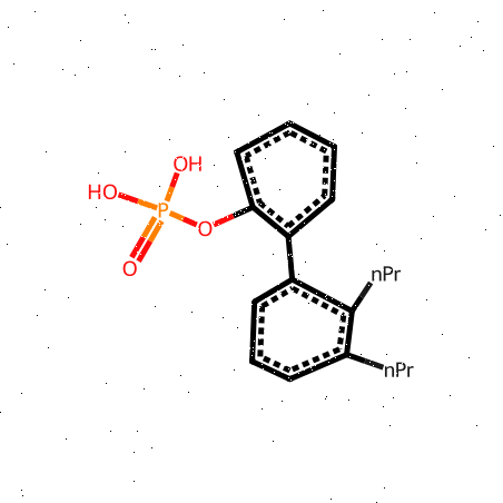 CCCc1cccc(-c2ccccc2OP(=O)(O)O)c1CCC